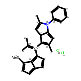 CSC1=CC=C2C=C[C]([Zr+2]([C]3=C(C)C=C4C3C=C(C)N4c3ccccc3)=[C](C)C)=C21.[Cl-].[Cl-]